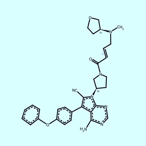 CN(C/C=C/C(=O)N1CC[C@@H](n2c(C#N)c(-c3ccc(Oc4ccccc4)cc3)c3c(N)ncnc32)C1)[C@H]1CCOC1